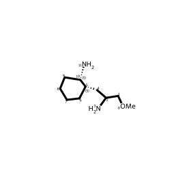 COCC(N)C[C@@H]1CCCC[C@@H]1N